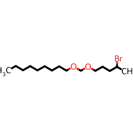 CCCCCCCCCOCOCCCC(C)Br